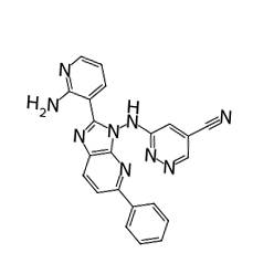 N#Cc1cnnc(Nn2c(-c3cccnc3N)nc3ccc(-c4ccccc4)nc32)c1